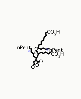 CCCCC/C=C/CCC(CCCCCCCC(=O)O)OOC(/C=C/CCCCC)CC(CCCCCCCC(=O)O)C1CC(=O)OC1=O